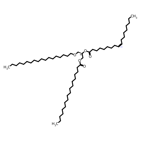 CCCCCCCC/C=C\CCCCCCCC(=O)O[C@H](COCCCCCCCCCCCCCCCCCC)COC(=O)CCCCCCCCCCCCCCCCC